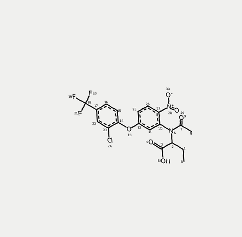 CCC(C(=O)O)N(C(C)=O)c1cc(Oc2ccc(C(F)(F)F)cc2Cl)ccc1[N+](=O)[O-]